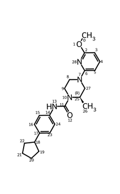 COc1cccc(N2CCN(C(=O)Nc3ccc(C4CCCC4)cc3)[C@H](C)C2)n1